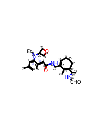 C=C(C)/C=C(\C(C)=C\C(=O)NCC1=CCCCC(C(C)NC=O)=C1C)N(CC)C1COC1